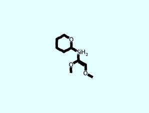 COC=C(OC)[SiH2]C1CCCCO1